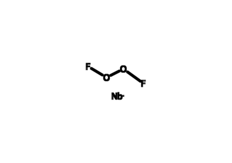 FOOF.[Nb]